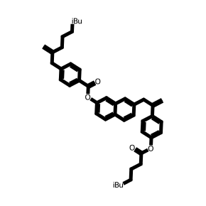 C=C(CCCC(C)CC)Cc1ccc(C(=O)Oc2ccc3ccc(CC(=C)c4ccc(OC(=O)CCCC(C)CC)cc4)cc3c2)cc1